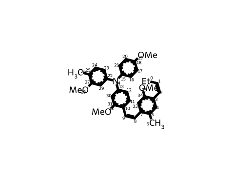 CC/C=C\c1cc(C)c(/C=C\c2ccc(N(c3ccc(OC)cc3)c3ccc(C)c(OC)c3)cc2OC)cc1OC